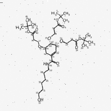 CC(C)(C)OC(=O)CCO[C@@H]1[C@H](OCCC(=O)OC(C)(C)C)C=C(C(=O)NCCCCCCO)C[C@H]1OCCC(=O)OC(C)(C)C